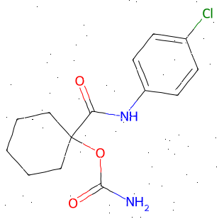 NC(=O)OC1(C(=O)Nc2ccc(Cl)cc2)CCCCC1